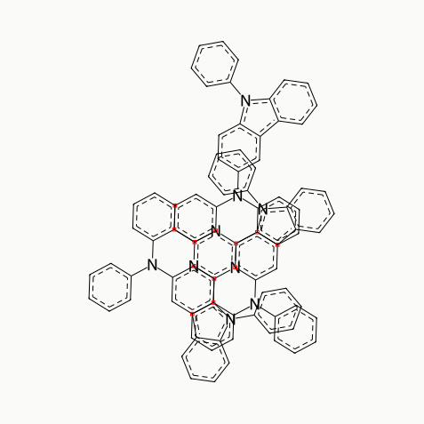 c1ccc(N(c2ccc3c(c2)c2ccccc2n3-c2ccccc2)c2ccccc2-c2nc(-c3ccccc3N(c3ccccc3)c3ccc4c(c3)c3ccccc3n4-c3ccccc3)nc(-c3ccccc3N(c3ccccc3)c3ccc4c(c3)c3ccccc3n4-c3ccccc3)n2)cc1